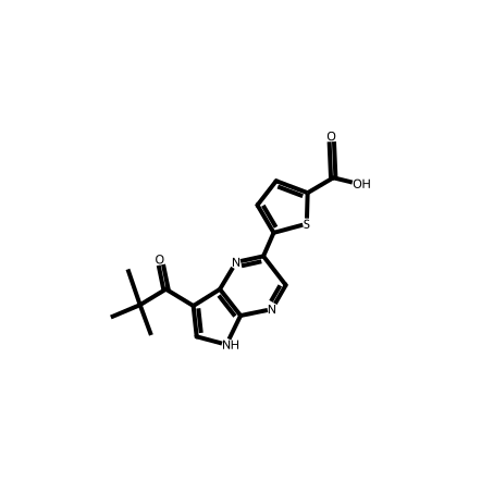 CC(C)(C)C(=O)c1c[nH]c2ncc(-c3ccc(C(=O)O)s3)nc12